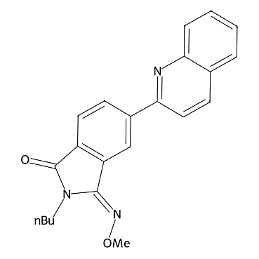 CCCCN1C(=O)c2ccc(-c3ccc4ccccc4n3)cc2C1=NOC